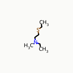 CCSCCN(C)CC